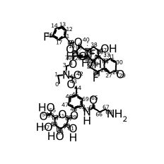 CCN(COCC(=O)[C@@]12O[C@H](c3cccc(F)c3)O[C@@H]1C[C@H]1[C@@H]3C[C@H](F)C4=CC(=O)C=C[C@]4(C)[C@@]3(F)[C@@H](O)C[C@@]12C)C(=O)OCc1ccc(O[C@@H]2O[C@H](C(=O)O)[C@@H](O)[C@H](O)[C@H]2O)c(NC(=O)CCN)c1